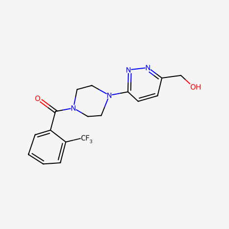 O=C(c1ccccc1C(F)(F)F)N1CCN(c2ccc(CO)nn2)CC1